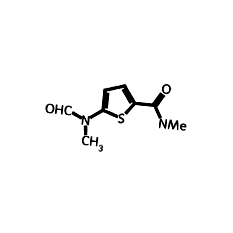 CNC(=O)c1ccc(N(C)C=O)s1